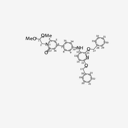 COC(Cn1ccc(-c2ccc(Nc3ccc(OCc4ccccc4)nc3OCc3ccccc3)cc2)cc1=O)OC